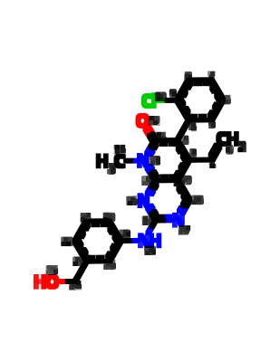 C=Cc1c(-c2ccccc2Cl)c(=O)n(C)c2nc(Nc3cccc(CO)c3)ncc12